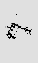 CNC(=O)c1nnc(CCC(F)Cn2cc(C(O)NCc3cncc(C(F)(F)F)c3)nn2)s1